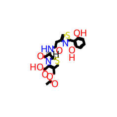 CC(=O)OCC1=C(C(=O)O)N2C(=O)[C@@H](NC(=O)Cc3csc(-c4c(O)cccc4O)n3)[C@H]2SC1